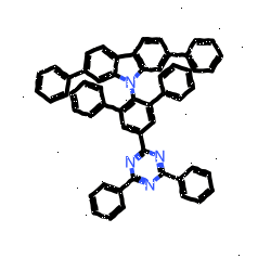 c1ccc(-c2ccc3c4ccc(-c5ccccc5)cc4n(-c4c(-c5ccccc5)cc(-c5nc(-c6ccccc6)nc(-c6ccccc6)n5)cc4-c4ccccc4)c3c2)cc1